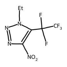 CCn1nnc([N+](=O)[O-])c1C(F)(F)C(F)(F)F